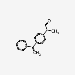 C=C(c1ccccc1)c1ccc(C(C)C=O)cc1